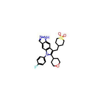 O=S1(=O)CCC(Cc2c(C3CCOCC3)n(-c3ccc(F)cc3)c3cc4cn[nH]c4cc23)CC1